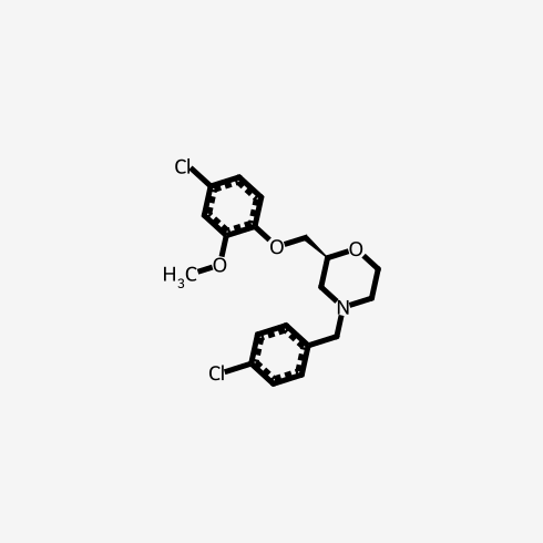 COc1cc(Cl)ccc1OC[C@@H]1CN(Cc2ccc(Cl)cc2)CCO1